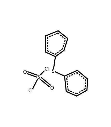 O=S(=O)(Cl)Cl.c1ccc(Sc2ccccc2)cc1